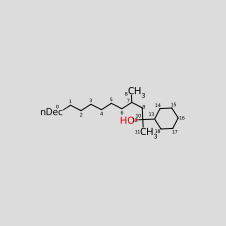 CCCCCCCCCCCCCCCCC(C)CC(C)(O)C1CCCCC1